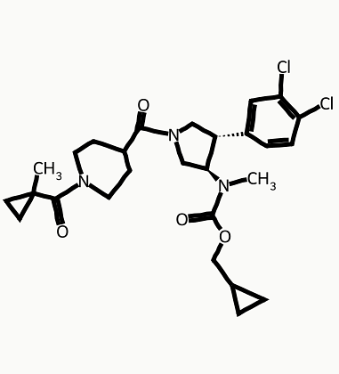 CN(C(=O)OCC1CC1)[C@H]1CN(C(=O)C2CCN(C(=O)C3(C)CC3)CC2)C[C@@H]1c1ccc(Cl)c(Cl)c1